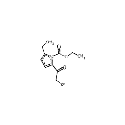 CCOC(=O)n1c(CC)ccc1C(=O)CBr